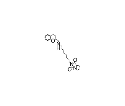 O=C1C2CCCN2C(=O)N1CCCCCCCCNCC1CCc2ccccc2O1